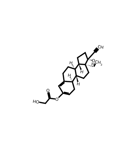 C#C[C@]1(O)CC[C@H]2[C@@H]3CCC4=CC(OC(=O)CO)=CC[C@@H]4[C@H]3CC[C@@]21CC